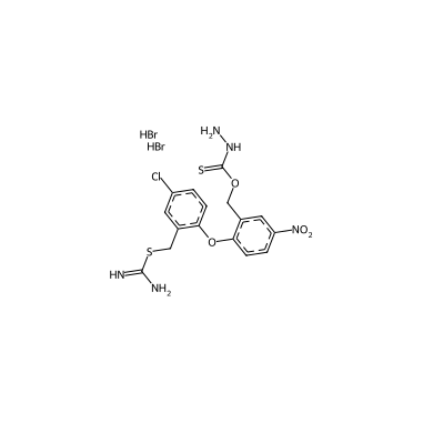 Br.Br.N=C(N)SCc1cc(Cl)ccc1Oc1ccc([N+](=O)[O-])cc1COC(=S)NN